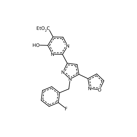 CCOC(=O)c1cnc(-c2cc(-c3ccon3)n(Cc3ccccc3F)n2)nc1O